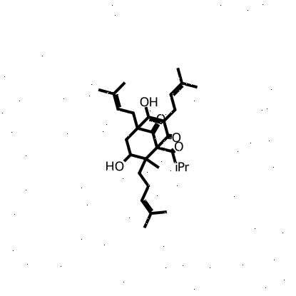 CC(C)=CCCC1(C)C(O)CC2(CC=C(C)C)C(=O)C1(C(=O)C(C)C)C(=O)C(CC=C(C)C)=C2O